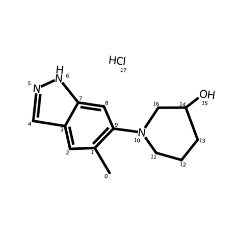 Cc1cc2cn[nH]c2cc1N1CCCC(O)C1.Cl